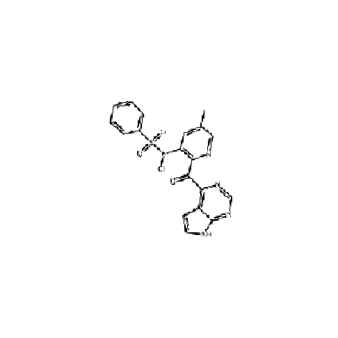 Cc1cnc(C(=O)c2ncnc3[nH]ccc23)c(N(Cl)S(=O)(=O)c2ccccc2)c1